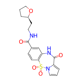 O=C(NCC[C@H]1CCCO1)c1ccc2c(c1)NC(=O)c1cccn1S2(=O)=O